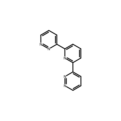 c1cnnc(-c2cccc(-c3cccnn3)n2)c1